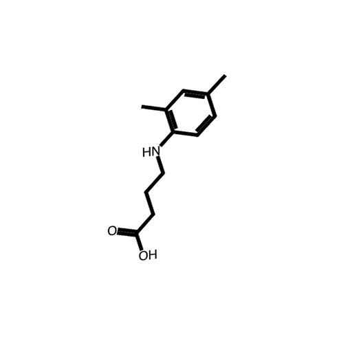 Cc1ccc(NCCCC(=O)O)c(C)c1